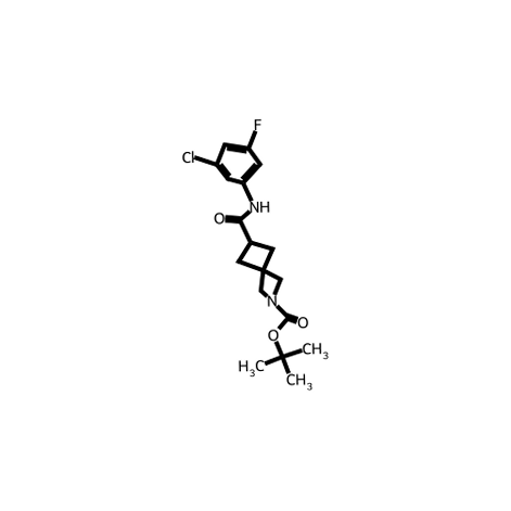 CC(C)(C)OC(=O)N1CC2(CC(C(=O)Nc3cc(F)cc(Cl)c3)C2)C1